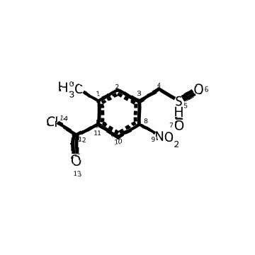 Cc1cc(C[SH](=O)=O)c([N+](=O)[O-])cc1C(=O)Cl